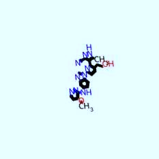 COc1ccnnc1Nc1ccc2c(c1)ncn2-c1ccc(CCO)c(-c2c(C#N)n[nH]c2C)n1